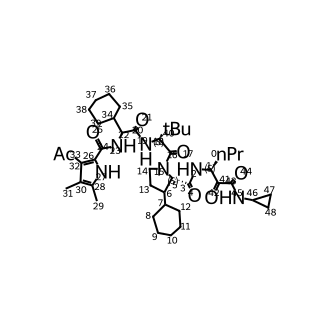 CCC[C@H](NC(=O)[C@@H]1C(C2CCCCC2)CCN1C(=O)[C@@H](NC(=O)C(NC(=O)c1[nH]c(C)c(C)c1C(C)=O)C1CCCCC1)C(C)(C)C)C(=O)C(=O)NC1CC1